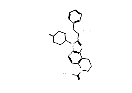 COC(=O)N1c2ccc3c(nc([C@H](Cc4ccccc4)NC(C)=O)n3C3CCC(C(=O)O)CC3)c2CC[C@@H]1C